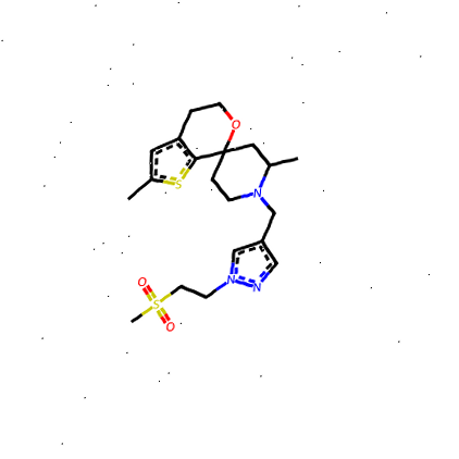 Cc1cc2c(s1)C1(CCN(Cc3cnn(CCS(C)(=O)=O)c3)C(C)C1)OCC2